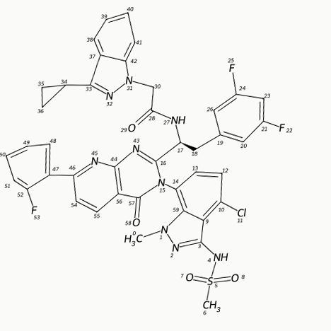 Cn1nc(NS(C)(=O)=O)c2c(Cl)ccc(-n3c([C@H](Cc4cc(F)cc(F)c4)NC(=O)Cn4nc(C5CC5)c5ccccc54)nc4nc(-c5ccccc5F)ccc4c3=O)c21